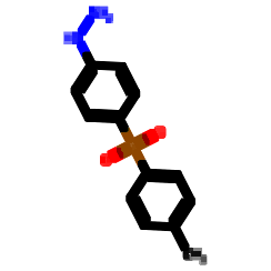 Cc1ccc(S(=O)(=O)c2ccc(NN)cc2)cc1